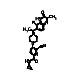 Cc1nc2ccc(C(C)N3CCN(c4ccc(C(=O)NC5CC5)nc4C#N)CC3)c(F)c2[nH]c1=O